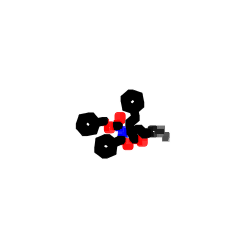 C=CCC1(CCc2ccccc2)C(=O)OC(c2ccccc2)N1C(=O)OCc1ccccc1